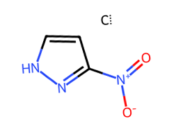 O=[N+]([O-])c1cc[nH]n1.[C]